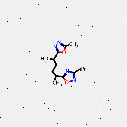 Cc1nnc(C(C)CCC(C)c2nc(C(C)C)no2)o1